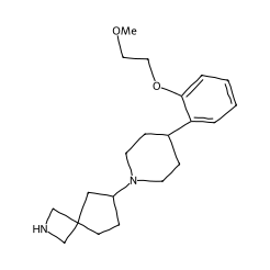 COCCOc1ccccc1C1CCN(C2CCC3(CNC3)C2)CC1